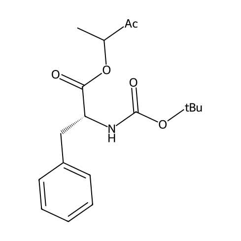 CC(=O)C(C)OC(=O)[C@@H](Cc1ccccc1)NC(=O)OC(C)(C)C